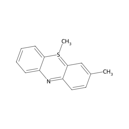 Cc1ccc2c(c1)=S(C)c1ccccc1N=2